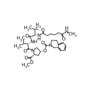 CNC(=O)CCCCC(=O)N[C@H](C(=O)N[C@H](C(=O)N1C[C@H](OC(=O)N2CCc3ccccc3C2)C[C@H]1C(=O)OC)C(C)C)C(C)C